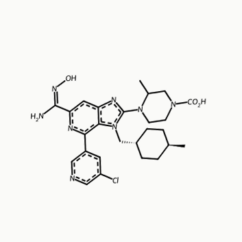 CC1CN(C(=O)O)CCN1c1nc2cc(/C(N)=N\O)nc(-c3cncc(Cl)c3)c2n1C[C@H]1CC[C@H](C)CC1